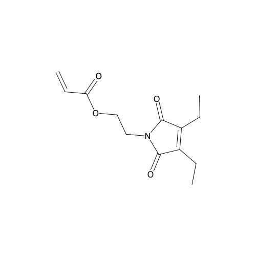 C=CC(=O)OCCN1C(=O)C(CC)=C(CC)C1=O